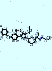 Nc1c(C=O)c(-c2ccc(Oc3ccc(F)cc3F)cc2)nn1C1CCCN(C(=O)/C=C/CO)C1